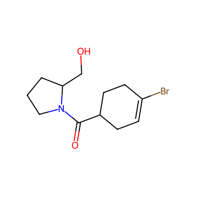 O=C(C1CC=C(Br)CC1)N1CCCC1CO